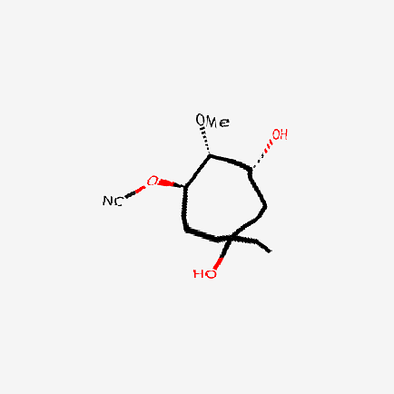 CO[C@@H]1[C@H](O)CC(C)(O)C[C@H]1OC#N